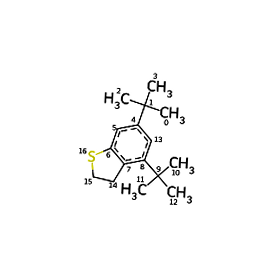 CC(C)(C)c1cc2c(c(C(C)(C)C)c1)CCS2